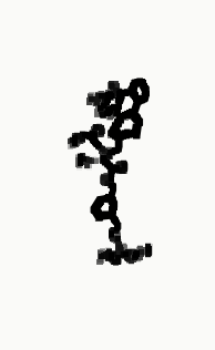 CCCCC(=O)N(Cc1ccc(-c2ccccc2-c2nn[nH]n2)cc1)[C@H](C(=O)OCc1cccc(CON(O)O)c1)C(C)C